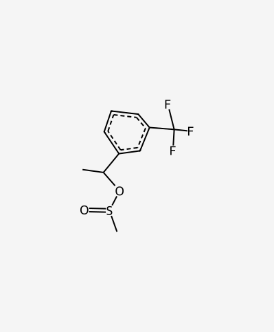 CC(OS(C)=O)c1cccc(C(F)(F)F)c1